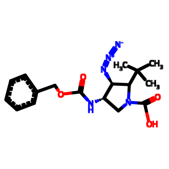 CC(C)(C)C1[C@H](N=[N+]=[N-])[C@@H](NC(=O)OCc2ccccc2)CN1C(=O)O